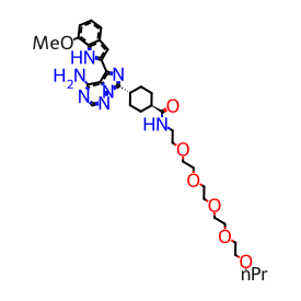 CCCOCCOCCOCCOCCOCCNC(=O)[C@H]1CC[C@H](c2nc(-c3cc4cccc(OC)c4[nH]3)c3c(N)ncnn32)CC1